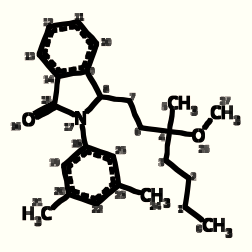 CCCCC(C)(CCC1c2ccccc2C(=O)N1c1cc(C)cc(C)c1)OC